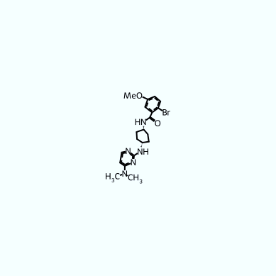 COc1ccc(Br)c(C(=O)N[C@H]2CC[C@@H](Nc3nccc(N(C)C)n3)CC2)c1